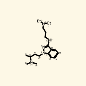 CCN(CC)CCCNc1nn(CCC(C)N(C)C)c2ccccc12